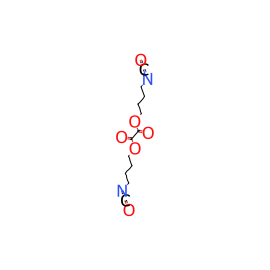 O=C=NCCCCOC(=O)C(=O)OCCCCN=C=O